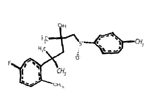 Cc1ccc([S@+]([O-])CC(O)(CC(C)(C)c2cc(F)ccc2C)C(F)(F)F)cc1